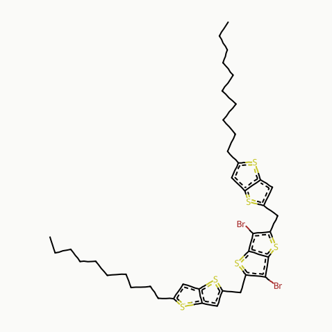 CCCCCCCCCCc1cc2sc(Cc3sc4c(Br)c(Cc5cc6sc(CCCCCCCCCC)cc6s5)sc4c3Br)cc2s1